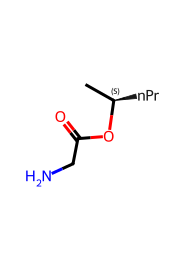 CCC[C@H](C)OC(=O)CN